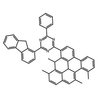 CC1=C2c3c(C)cccc3-c3ccc(-c4nc(-c5ccccc5)nc(-c5cccc6c5Cc5ccccc5-6)n4)c4c3C2C2=C(C(C)C=CC2=C1)C4C